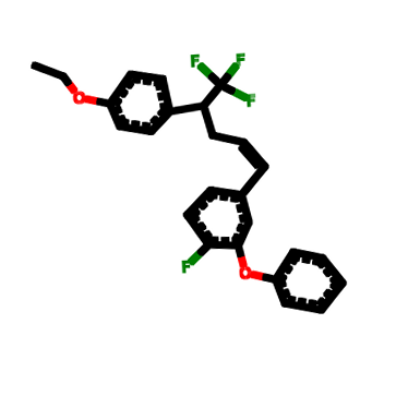 CCOc1ccc(C(C/C=C\c2ccc(F)c(Oc3ccccc3)c2)C(F)(F)F)cc1